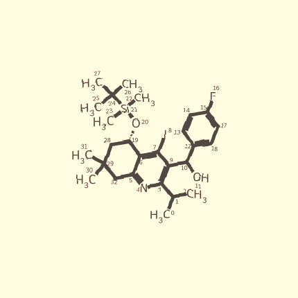 CC(C)c1nc2c(c(I)c1C(O)c1ccc(F)cc1)[C@@H](O[Si](C)(C)C(C)(C)C)CC(C)(C)C2